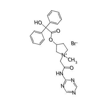 C[N+]1(CC(=O)Nc2ncncn2)CCC(OC(=O)C(O)(c2ccccc2)c2ccccc2)C1.[Br-]